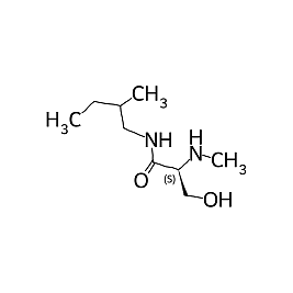 CCC(C)CNC(=O)[C@H](CO)NC